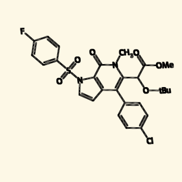 COC(=O)C(OC(C)(C)C)c1c(-c2ccc(Cl)cc2)c2ccn(S(=O)(=O)c3ccc(F)cc3)c2c(=O)n1C